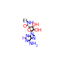 CCNC(=O)[C@H]1O[C@@H](n2cnc3c(N)nc(I)nc32)[C@H](O)[C@@H]1O